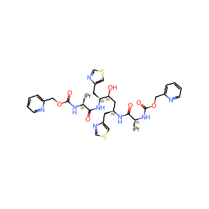 CC(C)[C@H](NC(=O)OCc1ccccn1)C(=O)N[C@@H](Cc1cscn1)C[C@H](O)[C@H](Cc1cscn1)NC(=O)[C@@H](NC(=O)OCc1ccccn1)C(C)C